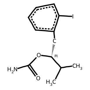 CC(C)[C@@H](Cc1ccccc1I)OC(N)=O